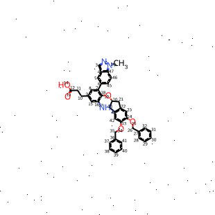 Cn1ncc2cc(-c3cc(CCC(=O)O)cc(N)c3OC3Cc4cc(OCc5ccccc5)c(OCc5ccccc5)cc4C3)ccc21